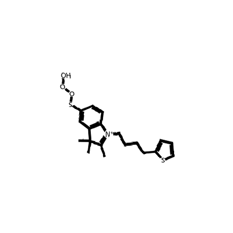 CC1=[N+](CCCCc2cccs2)c2ccc(SOOO)cc2C1(C)C